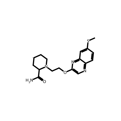 CSc1ccc2ncc(OCCN3CC[CH]CC3C(N)=O)nc2c1